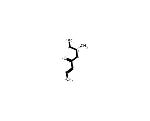 C/C=C/C(=O)C[C@@H](C)CC(C)=O